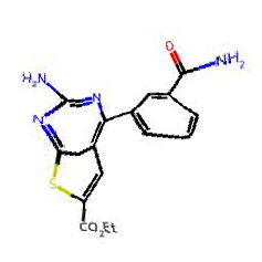 CCOC(=O)c1cc2c(-c3cccc(C(N)=O)c3)nc(N)nc2s1